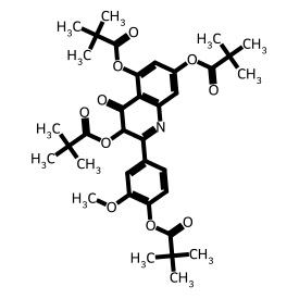 COc1cc(C2=Nc3cc(OC(=O)C(C)(C)C)cc(OC(=O)C(C)(C)C)c3C(=O)C2OC(=O)C(C)(C)C)ccc1OC(=O)C(C)(C)C